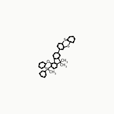 CC1(C)c2cc(-c3ccc4c(c3)Sc3ccccc3S4)ccc2-c2c1ccc1c2Oc2ccccc2[Si]1(C)c1ccccc1